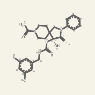 CC(=O)N1CCC2(CC1)CN(c1ccccc1)C(=O)[C@@]2(O)OC(=O)NCc1cc(F)cc(Cl)c1